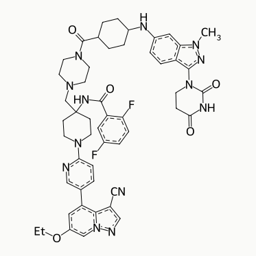 CCOc1cc(-c2ccc(N3CCC(CN4CCN(C(=O)C5CCC(Nc6ccc7c(N8CCC(=O)NC8=O)nn(C)c7c6)CC5)CC4)(NC(=O)c4cc(F)ccc4F)CC3)nc2)c2c(C#N)cnn2c1